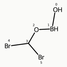 OBOC(Br)Br